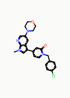 Cn1cc(-c2ccn(Cc3ccc(Cl)cc3)c(=O)c2)c2cc(N3CCOCC3)cnc21